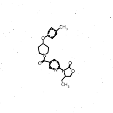 CCC1COC(=O)N1c1ccc(C(=O)N2CCC(Oc3ccc(C)cc3)CC2)cn1